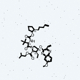 C=CCCC[C@@H]1CCC[C@H]1OC(=O)N[C@H](C(=O)N1C[C@H](Oc2nc3cc(OC)ccc3nc2C=C)[C@@H](CC)[C@H]1C(=O)OCC(C)C)C(C)(C)C